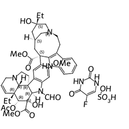 CC[C@]1(O)C[C@H]2C[N@](CCc3c([nH]c4ccccc34)[C@@](C(=O)OC)(c3cc4c(cc3OC)N(C=O)[C@H]3[C@@](O)(C(=O)OC)[C@H](OC(C)=O)[C@]5(CC)C=CCN6CC[C@]43[C@@H]65)C2)C1.O=S(=O)(O)O.O=c1[nH]cc(F)c(=O)[nH]1